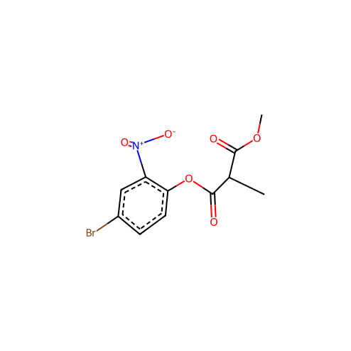 COC(=O)C(C)C(=O)Oc1ccc(Br)cc1[N+](=O)[O-]